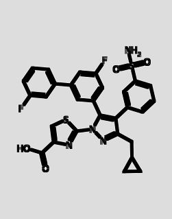 NS(=O)(=O)c1cccc(-c2c(CC3CC3)nn(-c3nc(C(=O)O)cs3)c2-c2cc(F)cc(-c3cccc(F)c3)c2)c1